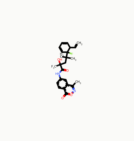 C=CC1C=CC=CC1(F)C(C)(C)CC(O)(C(=O)Nc1ccc2c(=O)onc(C)c2c1)C(F)(F)F